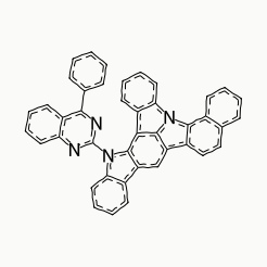 c1ccc(-c2nc(-n3c4ccccc4c4cc5c6ccc7ccccc7c6n6c7ccccc7c(c43)c56)nc3ccccc23)cc1